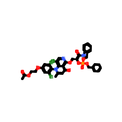 CNC(=O)[C@H](COc1ncc(Cl)c2c1c(=O)cc(C)n2-c1c(Cl)cc(OCCOC(C)=O)cc1Cl)OP(=O)(OCc1ccccc1)OCc1ccccc1